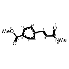 CNC(=O)C=Cc1ccc(C(=O)OC)cc1